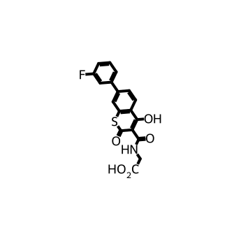 O=C(O)CNC(=O)c1c(O)c2ccc(-c3cccc(F)c3)cc2sc1=O